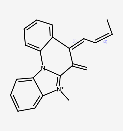 C=c1/c(=C\C=C/C)c2ccccc2n2c3ccccc3[n+](C)c12